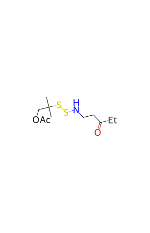 CCC(=O)CCNSSC(C)(C)COC(C)=O